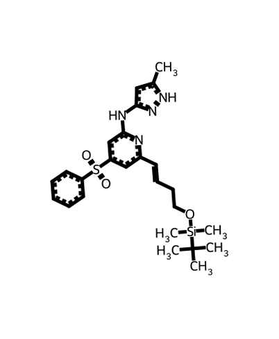 Cc1cc(Nc2cc(S(=O)(=O)c3ccccc3)cc(/C=C/CCO[Si](C)(C)C(C)(C)C)n2)n[nH]1